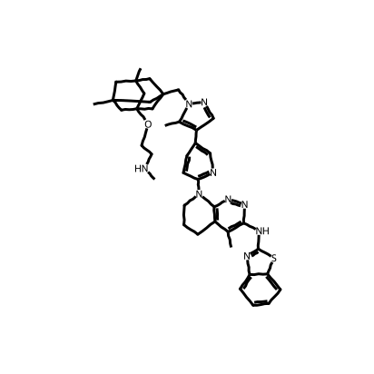 CNCCOC12CC3(C)CC(C)(CC(Cn4ncc(-c5ccc(N6CCCc7c6nnc(Nc6nc8ccccc8s6)c7C)nc5)c4C)(C3)C1)C2